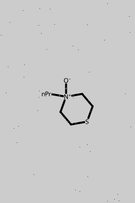 [CH2]CC[N+]1([O-])CCSCC1